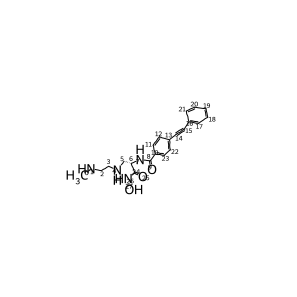 CNCCNC[C@H](NC(=O)c1ccc(C#Cc2ccccc2)cc1)C(=O)NO